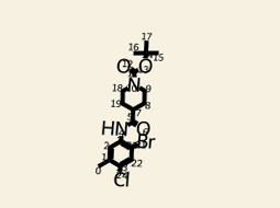 Cc1cc(NC(=O)C2CCN(C(=O)OC(C)(C)C)CC2)c(Br)cc1Cl